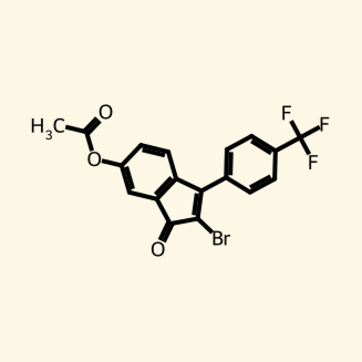 CC(=O)Oc1ccc2c(c1)C(=O)C(Br)=C2c1ccc(C(F)(F)F)cc1